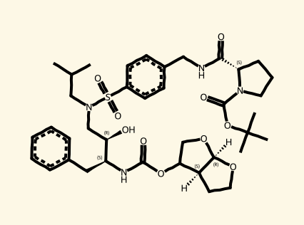 CC(C)CN(C[C@@H](O)[C@H](Cc1ccccc1)NC(=O)OC1CO[C@H]2OCC[C@@H]12)S(=O)(=O)c1ccc(CNC(=O)[C@@H]2CCCN2C(=O)OC(C)(C)C)cc1